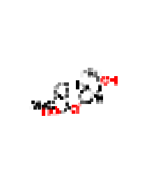 CCCCC1(O)C[C@H]2CC(OC(CO)c3ccccc3OC)C[C@H]2C1